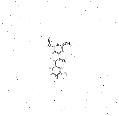 CCOc1cc(C)cc(C(=O)Cc2ccnc(Cl)n2)c1